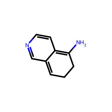 NC1=c2ccncc2=CCC1